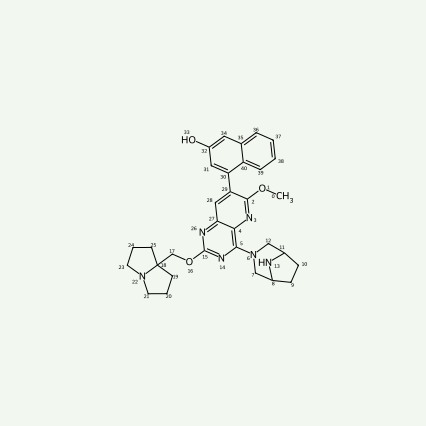 COc1nc2c(N3CC4CCC(C3)N4)nc(OCC34CCCN3CCC4)nc2cc1-c1cc(O)cc2ccccc12